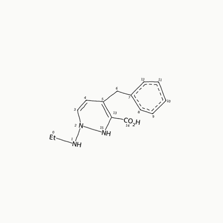 CCNN1C=CC(Cc2ccccc2)=C(C(=O)O)N1